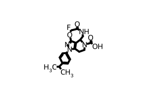 CC(C)c1ccc(-n2nc3c4c2CCN(C(=O)O)C4CNC(=O)C(F)O3)cc1